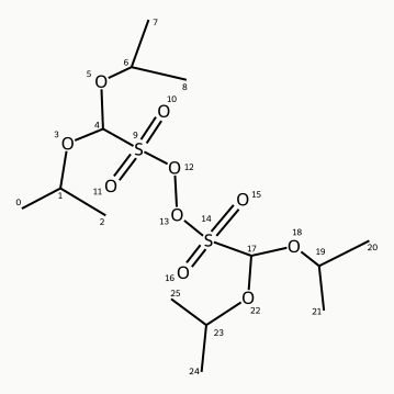 CC(C)OC(OC(C)C)S(=O)(=O)OOS(=O)(=O)C(OC(C)C)OC(C)C